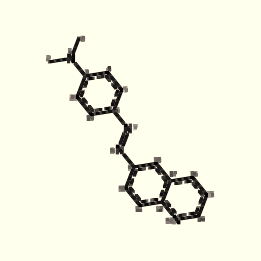 CN(C)c1ccc(N=Nc2ccc3ncccc3c2)cc1